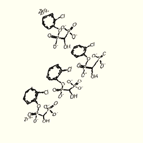 O=P([O-])([O-])C(O)P(=O)([O-])Oc1ccccc1Cl.O=P([O-])([O-])C(O)P(=O)([O-])Oc1ccccc1Cl.O=P([O-])([O-])C(O)P(=O)([O-])Oc1ccccc1Cl.O=P([O-])([O-])C(O)P(=O)([O-])Oc1ccccc1Cl.[Zr+4].[Zr+4].[Zr+4]